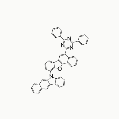 c1ccc(-c2nc(-c3ccccc3)nc(-c3cc4c5cccc(-n6c7ccccc7c7cc8ccccc8cc76)c5oc4c4ccccc34)n2)cc1